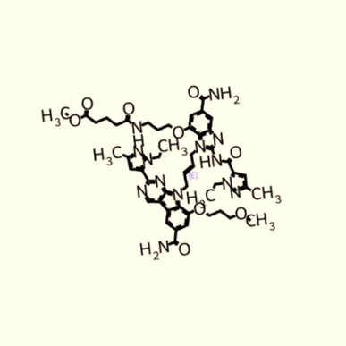 CCn1nc(C)cc1C(=O)Nc1nc2cc(C(N)=O)cc(OCCCNC(=O)CCCC(=O)OC)c2n1C/C=C/Cn1c2nc(-c3cc(C)nn3CC)ncc2c2cc(C(N)=O)cc(OCCCOC)c21